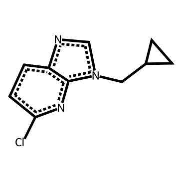 Clc1ccc2ncn(CC3CC3)c2n1